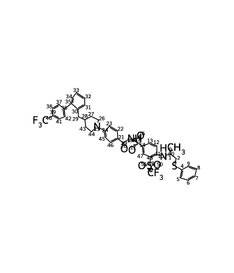 C[C@H](CSc1ccccc1)Nc1ccc(S(=O)(=O)NC(=O)c2ccc(N3CCC(Cc4ccccc4-c4ccc(C(F)(F)F)cc4)CC3)cc2)cc1S(=O)(=O)C(F)(F)F